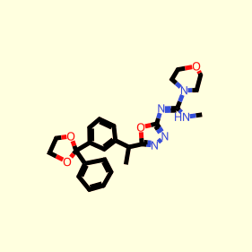 CN/C(=N\c1nnc(C(C)c2cccc(C3(c4ccccc4)OCCO3)c2)o1)N1CCOCC1